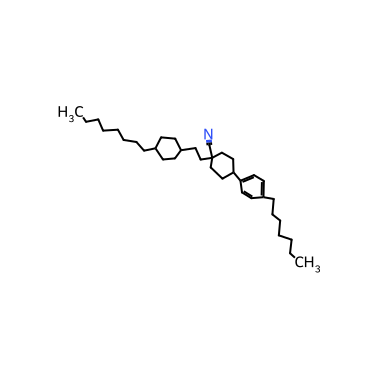 CCCCCCCCC1CCC(CCC2(C#N)CCC(c3ccc(CCCCCCC)cc3)CC2)CC1